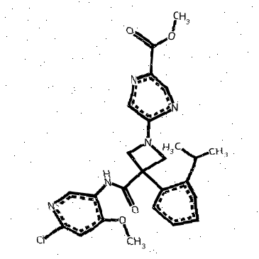 COC(=O)c1cnc(N2CC(C(=O)Nc3cnc(Cl)cc3OC)(c3ccccc3C(C)C)C2)cn1